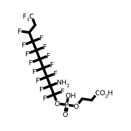 NC(F)(C(F)(F)OP(=O)(O)OCCC(=O)O)C(F)(F)C(F)(F)C(F)(F)C(F)(F)C(F)(F)C(F)CC(F)(F)F